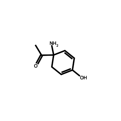 CC(=O)C1(N)C=CC(O)=CC1